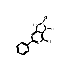 Clc1nc(-c2ccccc2)nc2c1N(Cl)N(Cl)N2